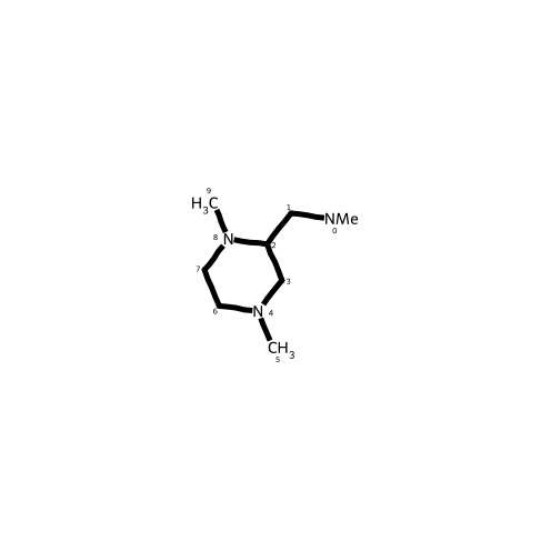 CNCC1CN(C)CCN1C